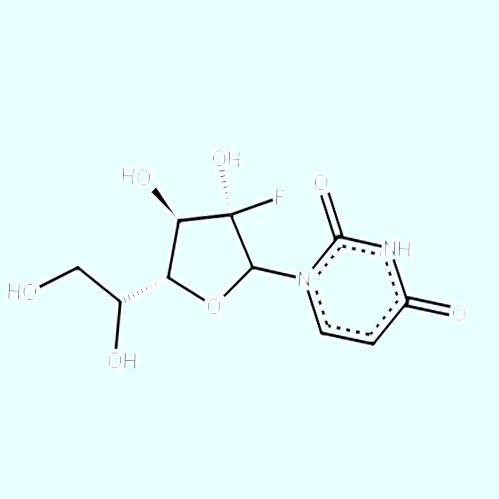 O=c1ccn(C2O[C@H](C(O)CO)[C@@H](O)[C@@]2(O)F)c(=O)[nH]1